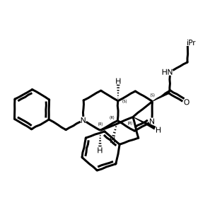 CC(C)CNC(=O)[C@@]12C[C@@H]3CCN(Cc4ccccc4)[C@@H]([C@@H]3C=N1)[C@H]2Cc1ccccc1